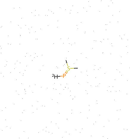 [2H]P=S(C)C